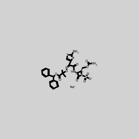 CC(C)(ON=C(C(=O)N[C@@H]1C(=O)N(S(=O)(=O)[O-])[C@@H]1COC(N)=O)c1csc(N)n1)C(=O)OC(c1ccccc1)c1ccccc1.[Na+]